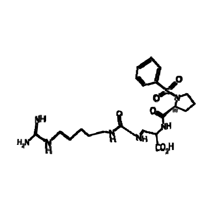 N=C(N)NCCCCCNC(=O)NCC(NC(=O)[C@@H]1CCCN1S(=O)(=O)c1ccccc1)C(=O)O